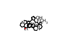 CCC12CCCN3CCC4(C=C(C5=CC=C(O)C5C5CC6(C(C)(F)F)CCCN7CCc8c(n5c5ccccc85)C76)N(C=O)C4CC1)C32